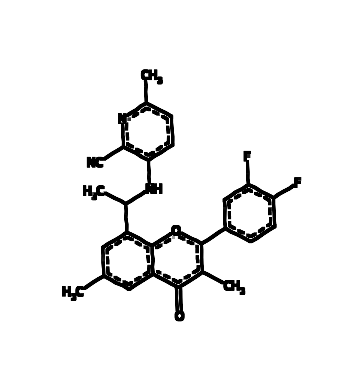 Cc1cc(C(C)Nc2ccc(C)nc2C#N)c2oc(-c3ccc(F)c(F)c3)c(C)c(=O)c2c1